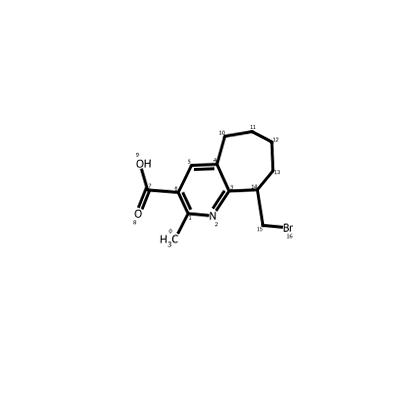 Cc1nc2c(cc1C(=O)O)CCCCC2CBr